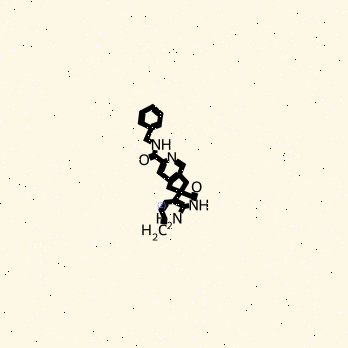 C=C/C=C\C1=C(N)NC(=O)C12Cc1cnc(C(=O)NCc3ccccc3)cc1C2